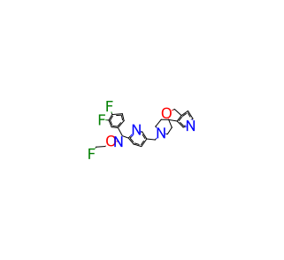 FCCO/N=C(\c1ccc(F)c(F)c1)c1ccc(CN2CCC3(CC2)OCc2ccncc23)cn1